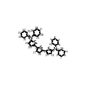 c1ccc(N(c2ccccc2)c2ccc(-c3ccc(-c4ccc(N(c5ccccc5)c5ccccc5)s4)s3)s2)cc1